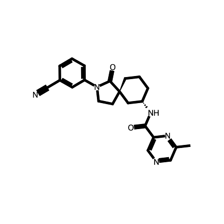 Cc1cncc(C(=O)N[C@H]2CCC[C@]3(CCN(c4cccc(C#N)c4)C3=O)C2)n1